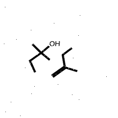 C=C(C)CC.CCC(C)(C)O